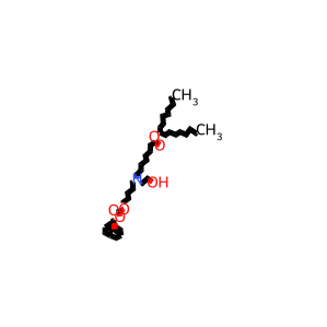 CCCCCCCCC(CCCCCCCC)OC(=O)CCCCCCCN(CCO)CCCCCOC(=O)OCC12CC3CC(CC(C3)C1)C2